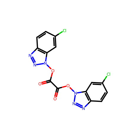 O=C(On1nnc2ccc(Cl)cc21)C(=O)On1nnc2ccc(Cl)cc21